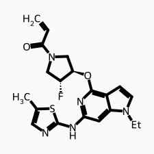 C=CC(=O)N1C[C@@H](F)[C@H](Oc2nc(Nc3ncc(C)s3)cc3c2ccn3CC)C1